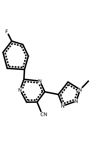 Cn1cc(-c2nc(-c3ccc(F)cc3)ncc2C#N)nn1